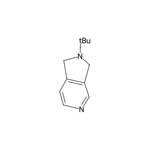 CC(C)(C)N1Cc2ccncc2C1